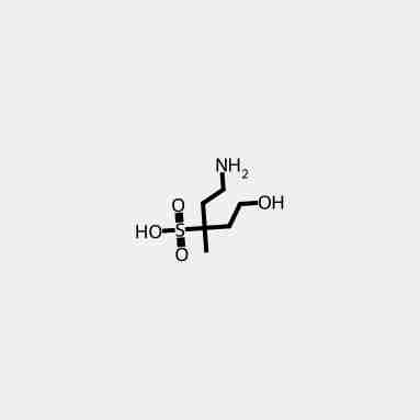 CC(CCN)(CCO)S(=O)(=O)O